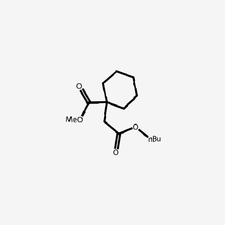 CCCCOC(=O)CC1(C(=O)OC)CCCCC1